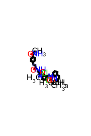 CNC(=O)c1ccc(/C=C/C(=O)NCC(=O)N(C)c2ccc(Cl)c(CN(C(=O)OC(C)(C)C)c3cccc4ccc(C)nc34)c2Cl)cc1